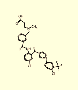 CN(CCC(=O)O)Cc1cccc(C(=O)Nc2ccc(Cl)cc2C(=O)c2cnn(-c3ccc(Cl)c(C(F)(F)F)c3)c2)c1